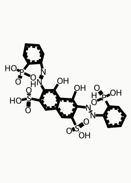 O=P(O)(O)c1ccccc1N=Nc1c(S(=O)(=O)O)cc2cc(S(=O)(=O)O)c(N=Nc3ccccc3P(=O)(O)O)c(O)c2c1O